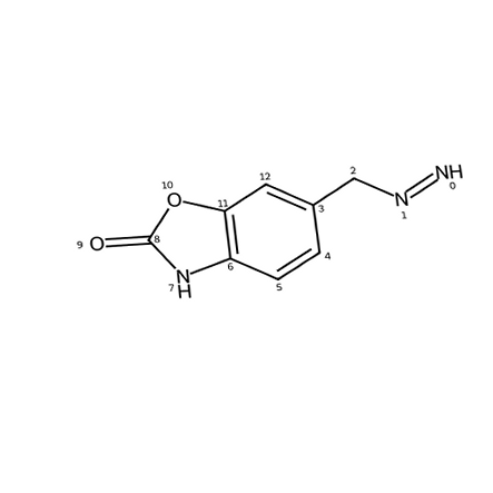 N=NCc1ccc2[nH]c(=O)oc2c1